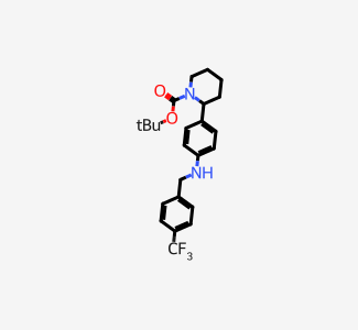 CC(C)(C)OC(=O)N1CCCCC1c1ccc(NCc2ccc(C(F)(F)F)cc2)cc1